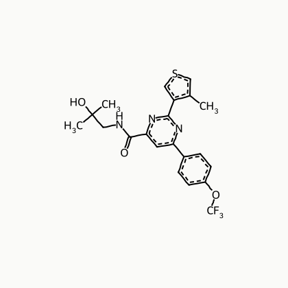 Cc1cscc1-c1nc(C(=O)NCC(C)(C)O)cc(-c2ccc(OC(F)(F)F)cc2)n1